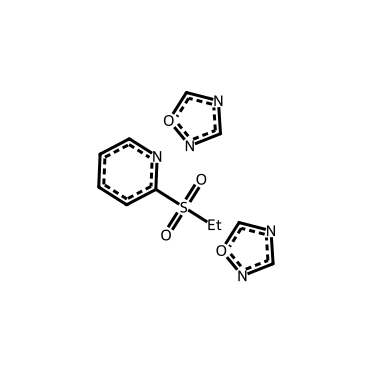 CCS(=O)(=O)c1ccccn1.c1ncon1.c1ncon1